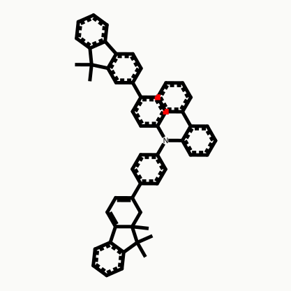 CC1(C)c2ccccc2-c2ccc(-c3ccc(N(c4ccc(C5=CC=C6c7ccccc7C(C)(C)C6(C)C5)cc4)c4ccccc4-c4ccccc4)cc3)cc21